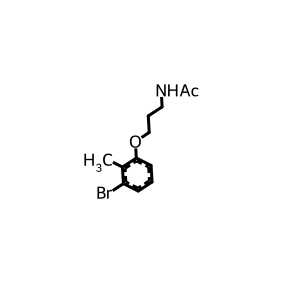 CC(=O)NCCCOc1cccc(Br)c1C